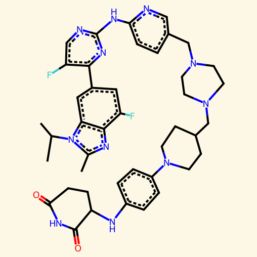 Cc1nc2c(F)cc(-c3nc(Nc4ccc(CN5CCN(CC6CCN(c7ccc(NC8CCC(=O)NC8=O)cc7)CC6)CC5)cn4)ncc3F)cc2n1C(C)C